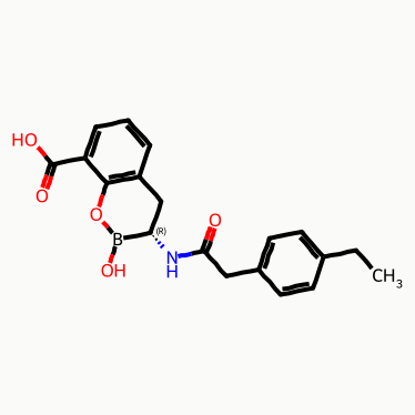 CCc1ccc(CC(=O)N[C@H]2Cc3cccc(C(=O)O)c3OB2O)cc1